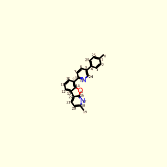 Cc1ccc(-c2ccc(-c3cccc4c3oc3nc(C)ccc34)nc2)cc1